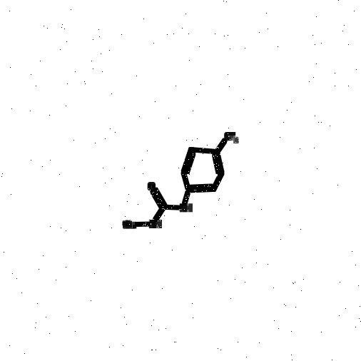 CC(C)(C)NC(=O)Nc1ccc(C(F)(F)F)cc1